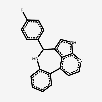 Fc1ccc(C2Nc3ccccc3-c3ccnc4[nH]cc2c34)cc1